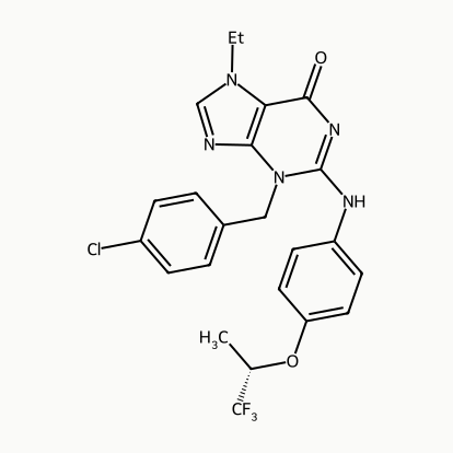 CCn1cnc2c1c(=O)nc(Nc1ccc(O[C@@H](C)C(F)(F)F)cc1)n2Cc1ccc(Cl)cc1